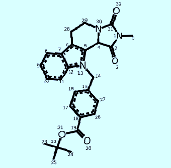 CN1C(=O)C2c3c(c4ccccc4n3Cc3ccc(C(=O)OC(C)(C)C)cc3)CCN2C1=O